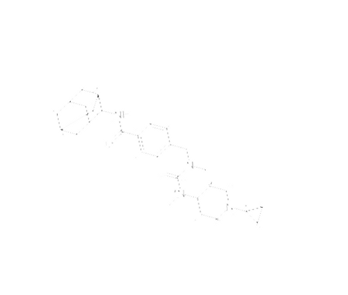 CN(Cc1ccc(C(=O)NC2C3CC4CC(C3)CC2C4)cc1)C(=O)N(C)C1CCN(C2CC2)CC1